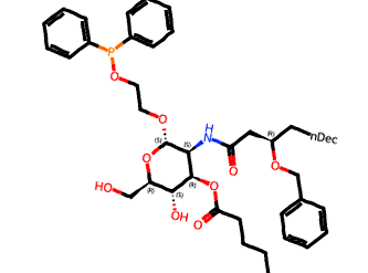 CCCCCCCCCCCCCC(=O)O[C@H]1[C@H](O)[C@@H](CO)O[C@H](OCCOP(c2ccccc2)c2ccccc2)[C@H]1NC(=O)C[C@@H](CCCCCCCCCCC)OCc1ccccc1